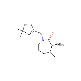 CNC1C(=O)N(CC2=CC(C)(C)C=C2)CCCC1C